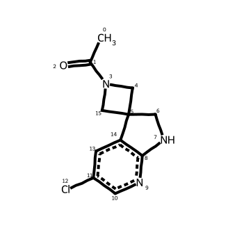 CC(=O)N1CC2(CNc3ncc(Cl)cc32)C1